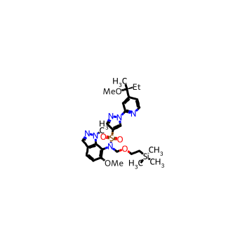 CC[C@](C)(OC)c1ccnc(-n2cc(S(=O)(=O)N(COCC[Si](C)(C)C)c3c(OC)ccc4cnn(C)c34)cn2)c1